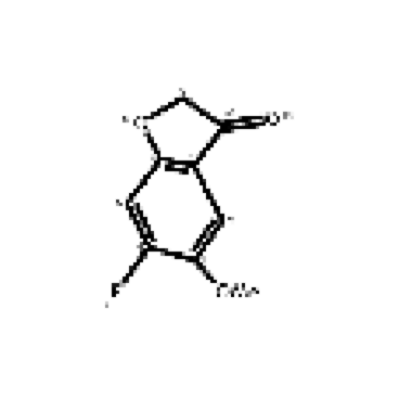 COc1cc2c(cc1F)OCC2=O